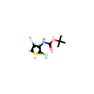 CC(C)(C)OC(=O)Nc1c(F)csc1Cl